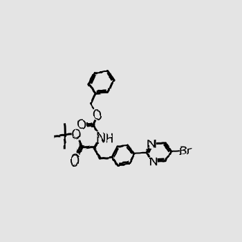 CC(C)(C)OC(=O)C(Cc1ccc(-c2ncc(Br)cn2)cc1)NC(=O)OCc1ccccc1